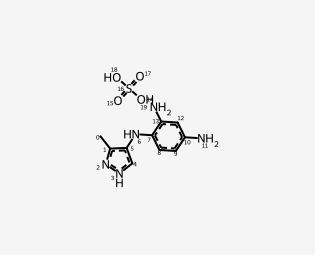 Cc1n[nH]cc1Nc1ccc(N)cc1N.O=S(=O)(O)O